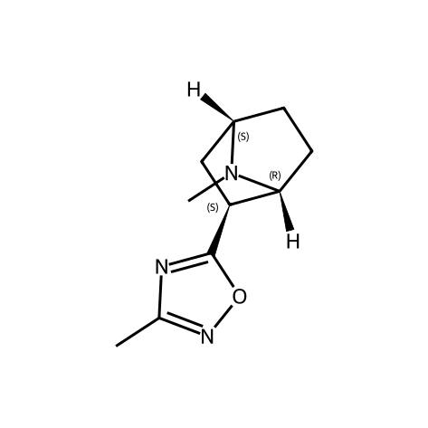 Cc1noc([C@H]2C[C@@H]3CC[C@H]2N3C)n1